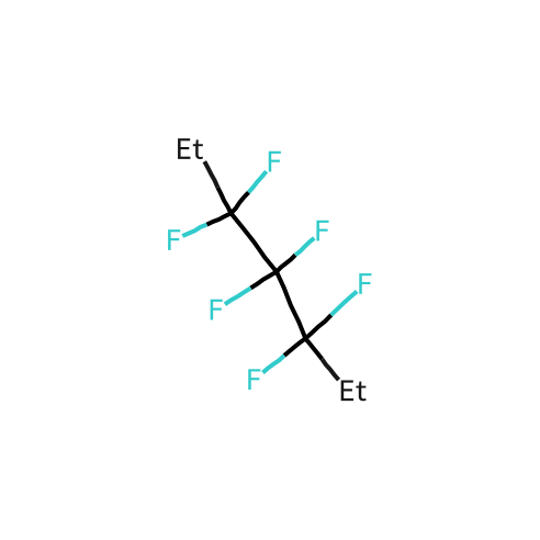 [CH2]CC(F)(F)C(F)(F)C(F)(F)CC